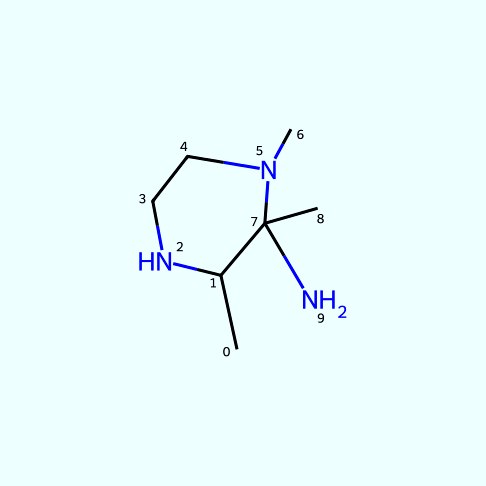 CC1NCCN(C)C1(C)N